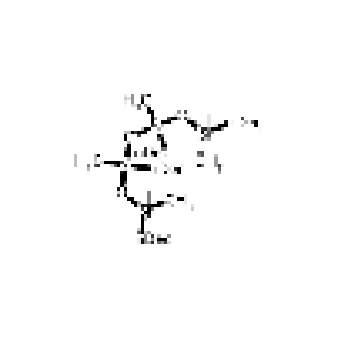 CCCCCCCCCC[SiH](C)O[Si](C)(CCCCCCCCCC)O[Si](C)(CCCCCCCCCC)O[SiH](C)CCCCCCCCCC